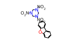 O=[N+]([O-])N1CN([N+](=O)[O-])CN([N+](=O)[O-])C1.c1ccc2c(c1)oc1ccccc12